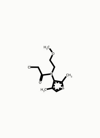 COCCN(C(=O)CCl)c1c(C)csc1C